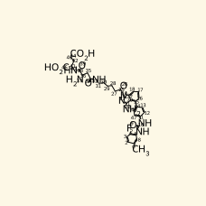 Cc1ccc(F)c(NC(=O)Nc2ccc(-c3cccc4c3c(N)nn4C(=O)CCCCCNC(=O)C[C@H](N)C(=O)N[C@@H](CCC(=O)O)C(=O)O)cc2)c1